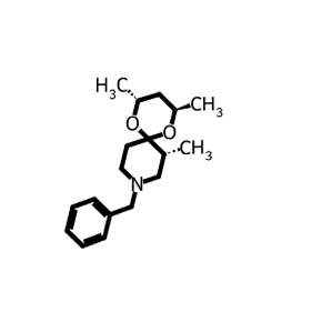 C[C@@H]1C[C@@H](C)OC2(CCN(Cc3ccccc3)C[C@H]2C)O1